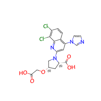 O=C(O)CO[C@H]1C[C@@H](C(=O)O)N(c2cc(-n3ccnc3)c3ccc(Cl)c(Cl)c3n2)C1